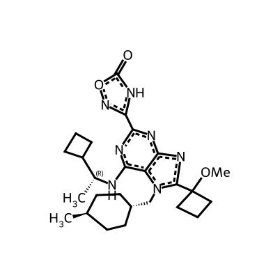 COC1(c2nc3nc(-c4noc(=O)[nH]4)nc(N[C@H](C)C4CCC4)c3n2C[C@H]2CC[C@H](C)CC2)CCC1